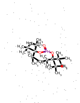 C[Si](C)(C)[Si](O[PH](=O)O[Si]([Si](C)(C)C)([Si](C)(C)C)[Si](C)(C)C)([Si](C)(C)C)[Si](C)(C)C